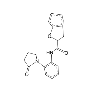 O=C(Nc1ccccc1N1CCCC1=O)C1Cc2ccccc2O1